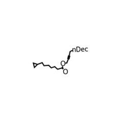 CCCCCCCCCCCC#CCOC(=O)CCCCCCC1CC1